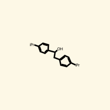 CC(C)c1ccc(CC(O)c2ccc(C(C)C)cc2)cc1